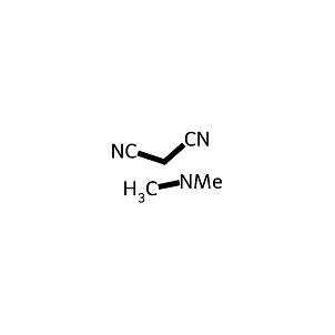 CNC.N#CCC#N